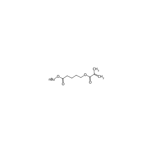 C=C(C)C(=O)OCCCCC(=O)OCCCC